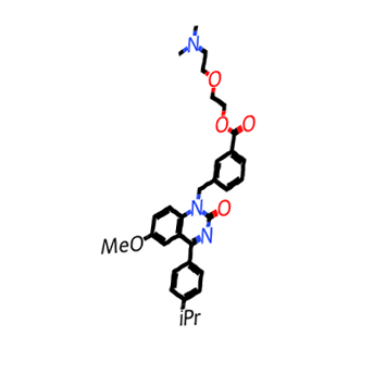 COc1ccc2c(c1)c(-c1ccc(C(C)C)cc1)nc(=O)n2Cc1cccc(C(=O)OCCOCCN(C)C)c1